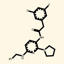 CC(C)CNc1ccc(NC(=O)Cc2cc(F)cc(F)c2)c(N2CCCC2)n1